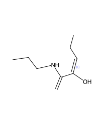 C=C(NCCC)/C(O)=C\CC